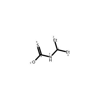 CCC(CC)NC([O])=S